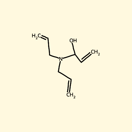 C=CCN(CC=C)C(O)C=C